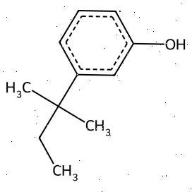 CCC(C)(C)c1cc[c]c(O)c1